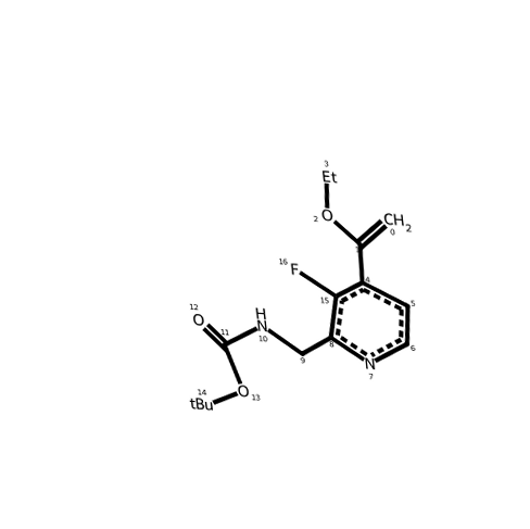 C=C(OCC)c1ccnc(CNC(=O)OC(C)(C)C)c1F